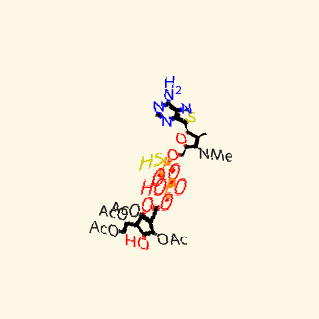 CN[C@H]1[C@H](C)[C@H](c2snc3c(N)ncnc23)O[C@@H]1COP(=O)(S)OP(=O)(O)OC1OC2(OC(C)=O)C1C(OC(C)=O)C(O)C2[C@H](COC(C)=O)OC(C)=O